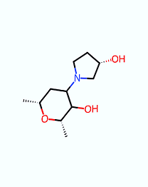 C[C@@H]1CC(N2CC[C@H](O)C2)C(O)[C@H](C)O1